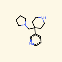 c1cncc(C2(CN3CCCC3)CCNCC2)c1